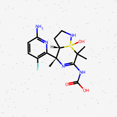 CC1(C)C(NC(=O)O)=N[C@](C)(c2nc(N)ccc2F)[C@@H]2CCNS21O